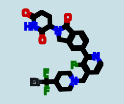 CCC(F)(F)C1CCN(Cc2ccnc(-c3ccc4c(c3)CN(C3CCC(=O)NC3=O)C4=O)c2F)CC1